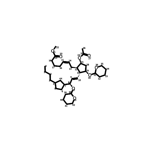 CCCCC1CCC([C@@H](/C=C/[C@@H]2[C@@H](C/C=C\CCCC(=O)OC)[C@@H](OC(C)=O)C[C@H]2OC2CCCCO2)OC2CCCCO2)C1